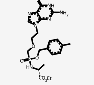 CCOC(=O)[C@@H](C)NP(=O)(COCCn1cnc2c(=O)[nH]c(N)nc21)OCc1ccc(C)cc1